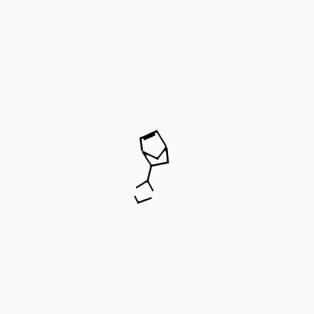 C1=CC2CC1CC2C1OCO1